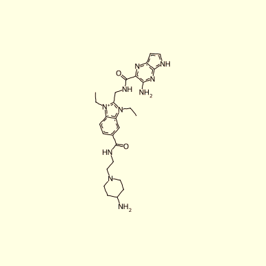 CCn1c(CNC(=O)c2nc3cc[nH]c3nc2N)[n+](CC)c2ccc(C(=O)NCCN3CCC(N)CC3)cc21